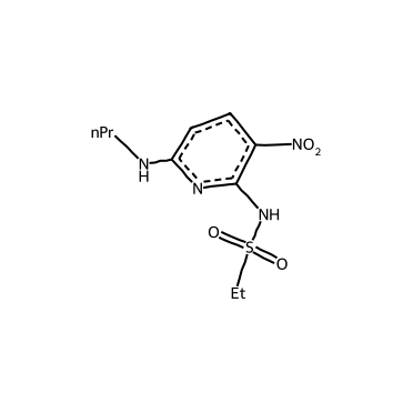 CCCNc1ccc([N+](=O)[O-])c(NS(=O)(=O)CC)n1